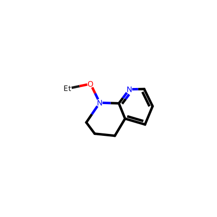 CCON1CCCc2cccnc21